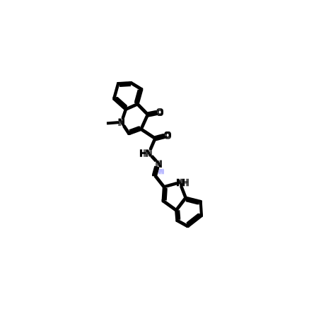 Cn1cc(C(=O)N/N=C/c2cc3ccccc3[nH]2)c(=O)c2ccccc21